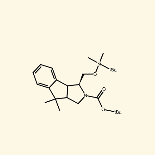 CC(C)(C)OC(=O)N1CC2C(c3ccccc3C2(C)C)[C@H]1CO[Si](C)(C)C(C)(C)C